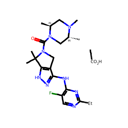 CC(=O)O.CCc1ncc(F)c(Nc2n[nH]c3c2CN(C(=O)N2C[C@@H](C)N(C)C[C@@H]2C)C3(C)C)n1